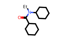 CCN(C(=O)C1CCCCC1)C1CCCCC1